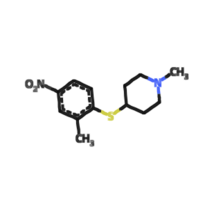 Cc1cc([N+](=O)[O-])ccc1SC1CCN(C)CC1